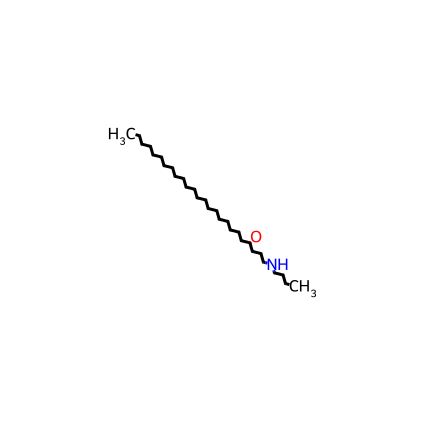 CCCCCCCCCCCCCCCCCCCCCC(=O)CCCNCCCC